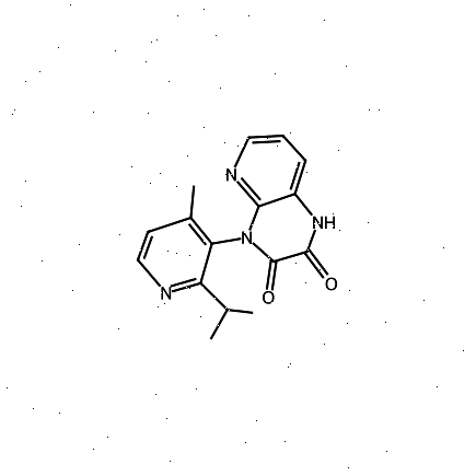 Cc1ccnc(C(C)C)c1-n1c(=O)c(=O)[nH]c2cccnc21